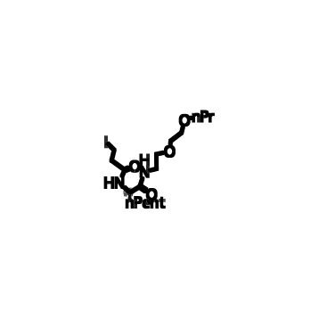 CCCCC[C@H](NC(=O)CCI)C(=O)NCCOCCOCCC